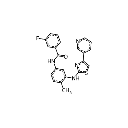 Cc1ccc(NC(=O)c2cccc(F)c2)cc1Nc1nc(-c2cccnc2)cs1